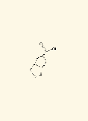 O=C(O)C1CC2COCC2C1